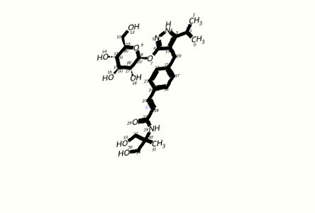 CC(C)c1[nH]nc(O[C@@H]2O[C@H](CO)[C@@H](O)[C@H](O)[C@H]2O)c1Cc1ccc(/C=C/C(=O)NC(C)(CO)CO)cc1